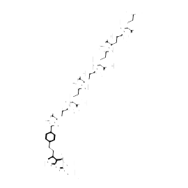 Nc1nc2[nH]cc(CCc3ccc(C(=O)N[C@@H](CCC(=O)N[C@@H](CCC(=O)N[C@@H](CCC(=O)N[C@@H](CCC(=O)NC(CCC(=O)N[C@@H](CCC(=O)O)C(=O)O)C(=O)O)C(=O)O)C(=O)O)C(=O)O)C(=O)O)cc3)c2c(=O)[nH]1